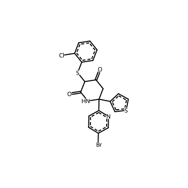 O=C1CC(c2ccsc2)(c2ccc(Br)cn2)NC(=O)C1Sc1ccccc1Cl